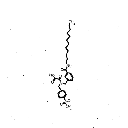 CCCCCCCCCCCCNC(=O)c1cccc(CN(Cc2ccc(S(C)(=O)=O)cc2)C(=O)C(=O)O)c1